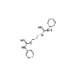 N=C(Nc1ccccc1)SCCCSC(=N)Nc1ccccc1